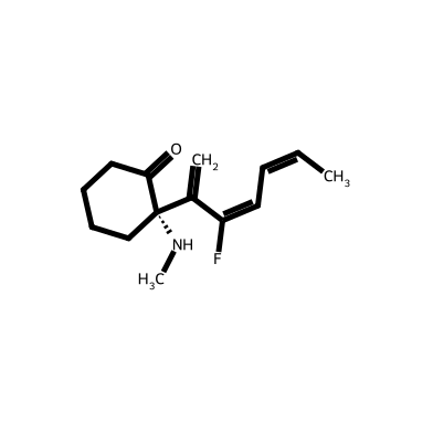 C=C(/C(F)=C\C=C/C)[C@@]1(NC)CCCCC1=O